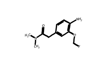 CN(C)C(=O)Cc1ccc(N)c(OCF)c1